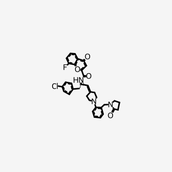 O=C(N[C@H](C=C1CCN(c2ccccc2CN2CCCC2=O)CC1)Cc1ccc(Cl)cc1)c1cc(=O)c2cccc(F)c2o1